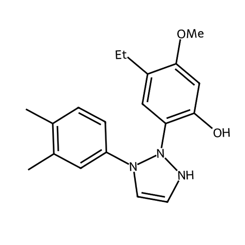 CCc1cc(N2NC=CN2c2ccc(C)c(C)c2)c(O)cc1OC